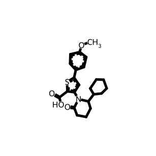 COc1ccc(-c2cc(N3C(=O)CCCC3C3CCCCC3)c(C(=O)O)s2)cc1